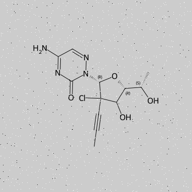 CC#CC1(Cl)C(O)[C@@H]([C@H](C)O)O[C@H]1n1ncc(N)nc1=O